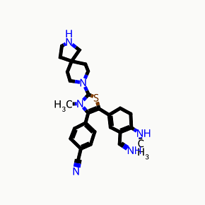 CNC1=C(C=N)C=C(C2=C(c3ccc(C#N)cc3)N(C)C(N3CCC4(CCNC4)CC3)S2)CC1